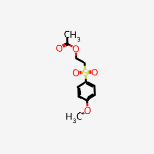 COc1ccc(S(=O)(=O)CCOC(C)=O)cc1